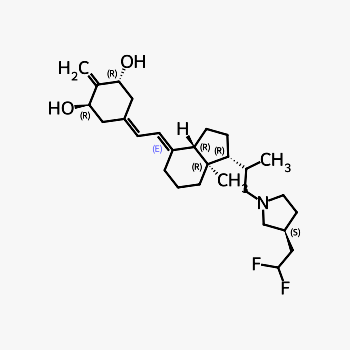 C=C1[C@H](O)CC(=C/C=C2\CCC[C@]3(C)[C@@H](C(C)CN4CC[C@@H](CC(F)F)C4)CC[C@@H]23)C[C@H]1O